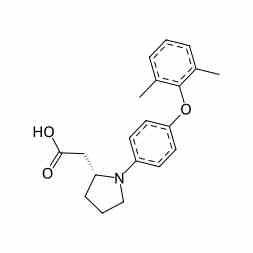 Cc1cccc(C)c1Oc1ccc(N2CCC[C@@H]2CC(=O)O)cc1